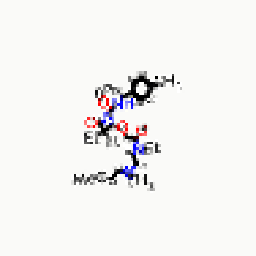 CCC[C@@H](NC(=O)N1C(=O)C(CC)(CC)[C@@H]1OCC(=O)N(CC)CCN(C)CCOC)c1ccc(C)cc1